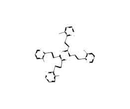 Clc1cccnc1C=Cc1nc(C=Cc2ncccc2Cl)c(C=Cc2ncccc2Cl)nc1C=Cc1ncccc1Cl